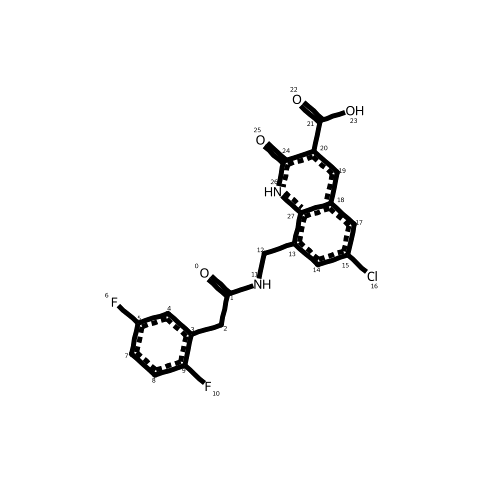 O=C(Cc1cc(F)ccc1F)NCc1cc(Cl)cc2cc(C(=O)O)c(=O)[nH]c12